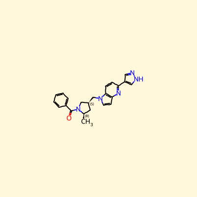 C[C@@H]1C[C@H](Cn2ccc3nc(-c4cn[nH]c4)ccc32)CN1C(=O)c1ccccc1